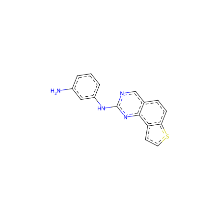 Nc1cccc(Nc2ncc3ccc4sccc4c3n2)c1